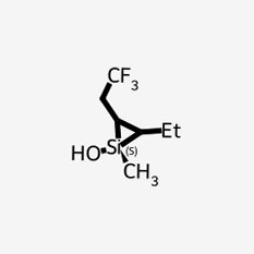 CCC1C(CC(F)(F)F)[Si@@]1(C)O